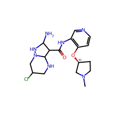 CN1CC[C@H](Oc2ccncc2NC(=O)C2C(N)NN3CC(Cl)CNC23)C1